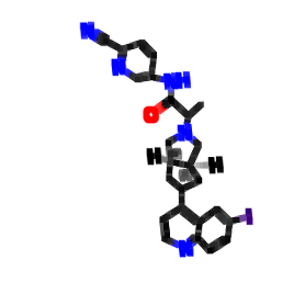 CC(C(=O)Nc1ccc(C#N)nc1)N1C[C@H]2CC(c3ccnc4ccc(I)cc34)C[C@H]2C1